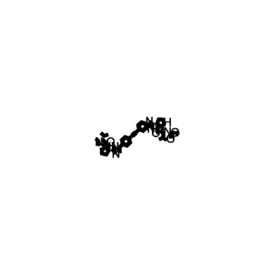 COC(=O)N[C@H](C(=O)N1CCC[C@H]1c1nc2ccc(C#Cc3ccc(-c4cnc([C@@H]5CCCN5C(=O)[C@@H](C(C)C)N(C)C)[nH]4)cc3)cc2[nH]1)C(C)C